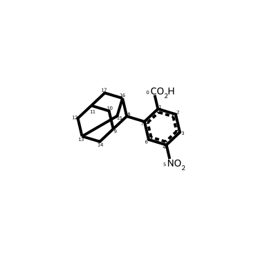 O=C(O)c1ccc([N+](=O)[O-])cc1C1C2CC3CC(C2)CC1C3